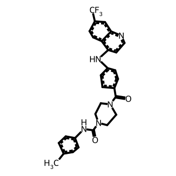 Cc1ccc(NC(=O)N2CCN(C(=O)c3ccc(Nc4ccnc5cc(C(F)(F)F)ccc45)cc3)CC2)cc1